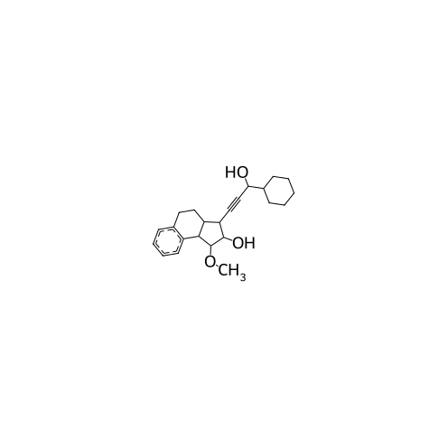 COC1C(O)C(C#CC(O)C2CCCCC2)C2CCc3ccccc3C21